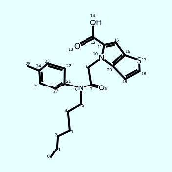 CCCCCCN(C(=O)Cn1c(C(=O)O)cc2sccc21)c1ccc(C)cc1